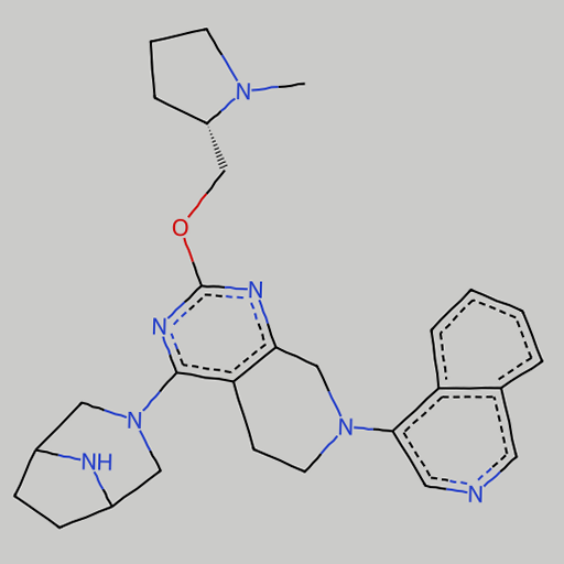 CN1CCC[C@H]1COc1nc2c(c(N3CC4CCC(C3)N4)n1)CCN(c1cncc3ccccc13)C2